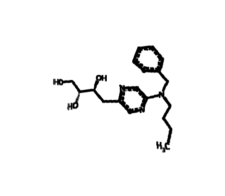 CCCCN(Cc1ccccc1)c1cnc(C[C@H](O)[C@H](O)CO)cn1